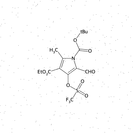 CCOC(=O)c1c(OS(=O)(=O)C(F)(F)F)c(C=O)n(C(=O)OC(C)(C)C)c1C